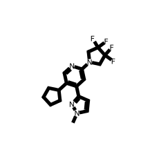 Cn1ccc(-c2cc(N3CC(F)(F)C(F)(F)C3)ncc2C2CCCC2)n1